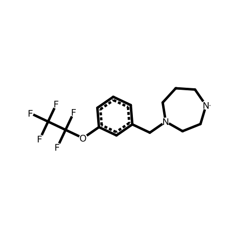 FC(F)(F)C(F)(F)Oc1cccc(CN2CCC[N]CC2)c1